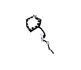 CCO/N=C/c1cccnc1